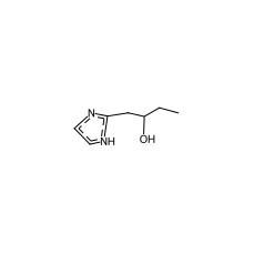 CCC(O)Cc1ncc[nH]1